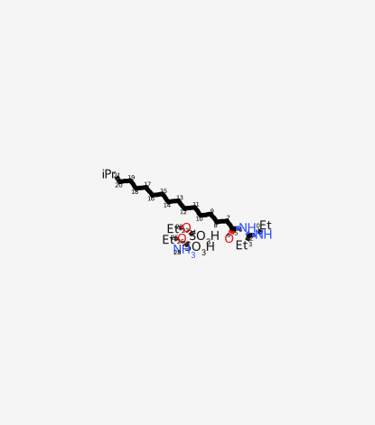 CCNC(CC)NC(=O)CCCCCCCCCCCCCCC(C)C.CCOS(=O)(=O)O.CCOS(=O)(=O)O.N